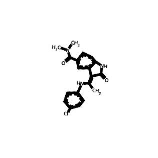 CC(Nc1ccc(Cl)cc1)=C1C(=O)Nc2ccc(C(=O)N(C)C)cc21